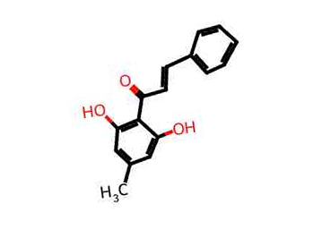 Cc1cc(O)c(C(=O)/C=C/c2ccccc2)c(O)c1